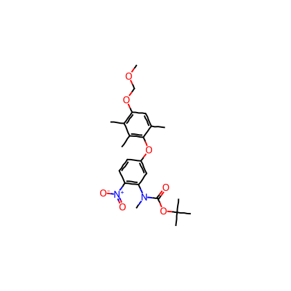 COCOc1cc(C)c(Oc2ccc([N+](=O)[O-])c(N(C)C(=O)OC(C)(C)C)c2)c(C)c1C